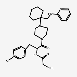 NCC(=O)NC(Cc1ccc(Cl)cc1)C(=O)N1CCN(C2(CNc3ccccn3)CCCCC2)CC1